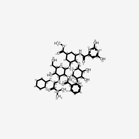 COC(=O)C1CC(NC(=O)c2cc(O)nc(O)n2)C(OC2OC(C)C(O)C(O)C2O)C(OC2OC(CO)C(O)C(O[C@@H](CC3CCCCC3)C(=O)N(C)C)C2OC(=O)c2ccccc2)C1